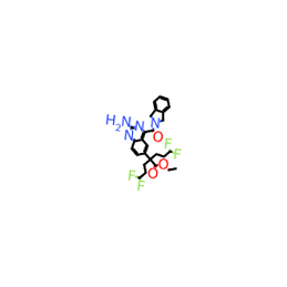 CCOC(=O)C(CCC(F)F)(CCC(F)F)c1ccc2nc(N)nc(C(=O)N3Cc4ccccc4C3)c2c1